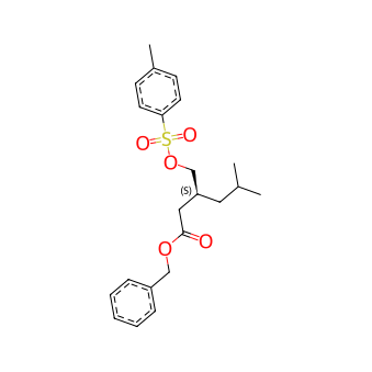 Cc1ccc(S(=O)(=O)OC[C@H](CC(=O)OCc2ccccc2)CC(C)C)cc1